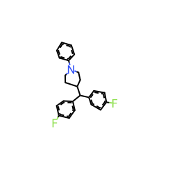 Fc1ccc(C(c2ccc(F)cc2)C2CCN(c3ccccc3)CC2)cc1